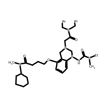 CCN(C)C(=O)NN1CN(CC(=O)N(CC(C)C)CC(C)C)Cc2c(OCCCC(=O)N(C)C3CCCCC3)cccc21